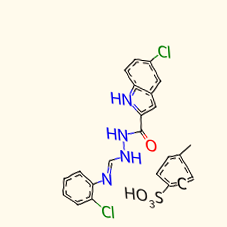 Cc1ccc(S(=O)(=O)O)cc1.O=C(NNC=Nc1ccccc1Cl)c1cc2cc(Cl)ccc2[nH]1